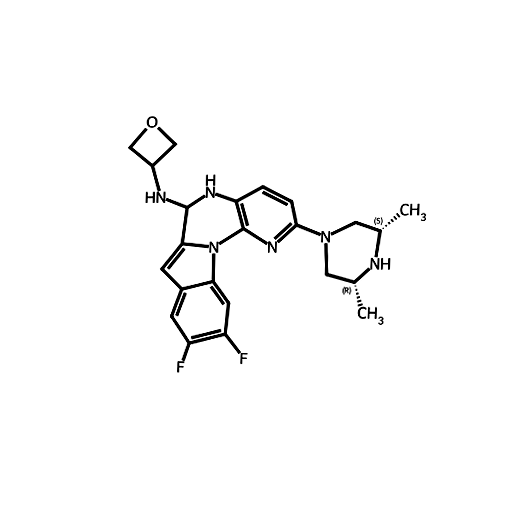 C[C@@H]1CN(c2ccc3c(n2)-n2c(cc4cc(F)c(F)cc42)C(NC2COC2)N3)C[C@H](C)N1